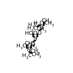 CC(C)(C)CN(CCOCCN(CCOCCN(CC(C)(C)C)CC(C)(C)C)CC(=O)O)CC(C)(C)C